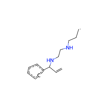 [CH2]CCNCCNC(C=C)c1ccccc1